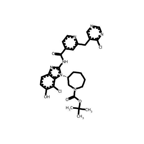 CC(C)(C)OC(=O)N1CCCC[C@@H](n2c(NC(=O)c3ccnc(Cc4cncnc4Cl)c3)nc3ccc(O)c(Cl)c32)C1